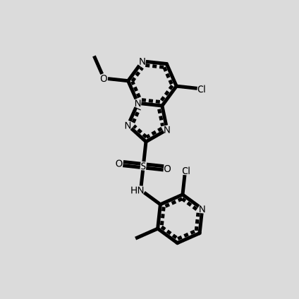 COc1ncc(Cl)c2nc(S(=O)(=O)Nc3c(C)ccnc3Cl)nn12